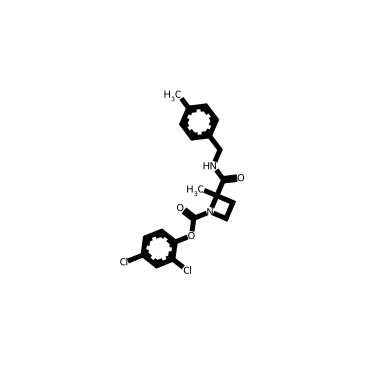 Cc1ccc(CNC(=O)C2(C)CCN2C(=O)Oc2ccc(Cl)cc2Cl)cc1